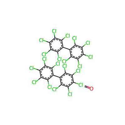 C=O.Clc1c(Cl)c(Cl)c(-c2c(Cl)c(Cl)c(Cl)c(Cl)c2Cl)c(Cl)c1Cl.Clc1c(Cl)c(Cl)c(-c2c(Cl)c(Cl)c(Cl)c(Cl)c2Cl)c(Cl)c1Cl